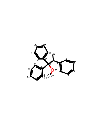 CC(c1ccccc1)C(O[SiH3])(c1ccccc1)c1ccccc1